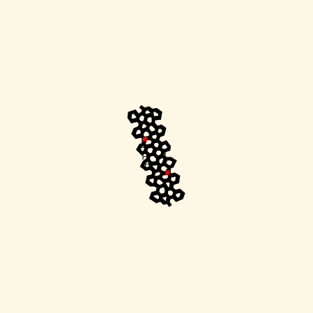 Cc1cc2cccc3c2c2c1c1ccccc1c1c4cccc5c6c7c8c9c%10c%11c(c8c8cccc%12c8c7c(c54)c(c3%12)c12)CCC[C@@H]%11c1c2c3c4c5c1C=%10[C@@H]([C@@H]1CCC[C@H]6C=91)[C@H]1CCCc(c51)c1c5cccc6c5c5c(c(c7cccc8c7c5c5c6c6cccc7cc(C)c9c%10ccccc%10c8c5c9c76)[C@H]3CCC2)c41